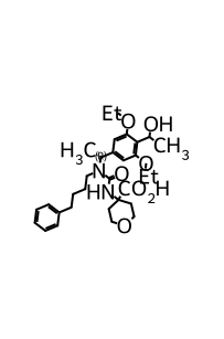 CCOc1cc([C@@H](C)N(CCCCc2ccccc2)C(=O)NC2(C(=O)O)CCOCC2)cc(OCC)c1C(C)O